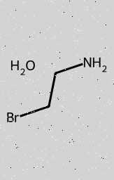 NCCBr.O